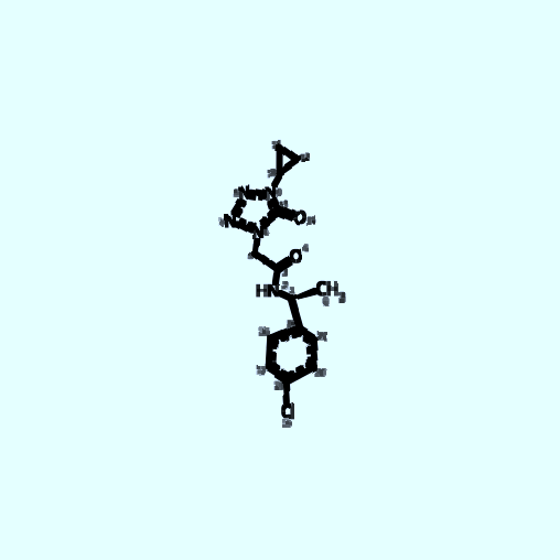 C[C@H](NC(=O)Cn1nnn(C2CC2)c1=O)c1ccc(Cl)cc1